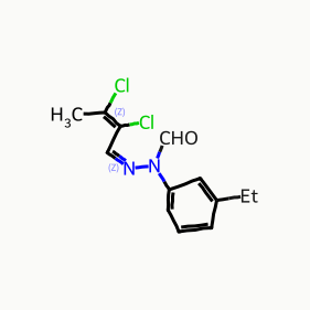 CCc1cccc(N(C=O)/N=C\C(Cl)=C(/C)Cl)c1